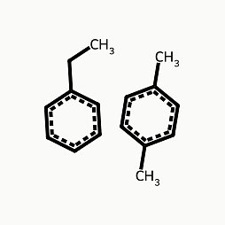 CCc1ccccc1.Cc1ccc(C)cc1